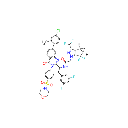 Cc1cc(Cl)ccc1-c1ccc2c(=O)n(-c3ccc(S(=O)(=O)N4CCOCC4)cc3)c([C@H](Cc3cc(F)cc(F)c3)NC(=O)Cn3nc(C(F)F)c4c3C(F)(F)[C@@H]3C[C@H]43)nc2c1